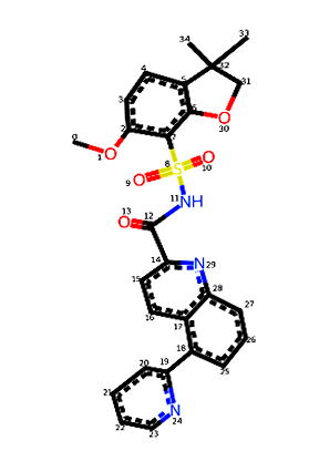 COc1ccc2c(c1S(=O)(=O)NC(=O)c1ccc3c(-c4ccccn4)cccc3n1)OCC2(C)C